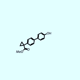 COC(=O)C1(c2ccc(-c3ccc(O)cc3)cc2)CC1